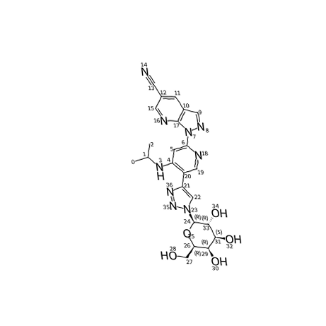 CC(C)Nc1cc(-n2ncc3cc(C#N)cnc32)ncc1-c1cn([C@@H]2O[C@H](CO)[C@H](O)[C@H](O)[C@H]2O)nn1